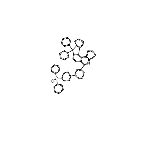 O=P(c1ccccc1)(c1ccccc1)c1ccc(-c2cccc(-c3nc4ccccc4c4c5c(ccc34)C(c3ccccc3)(c3ccccc3)c3ccccc3-5)c2)cc1